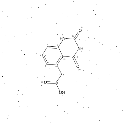 O=C(O)Cc1cccc2[nH]c(=O)[nH]c(=O)c12